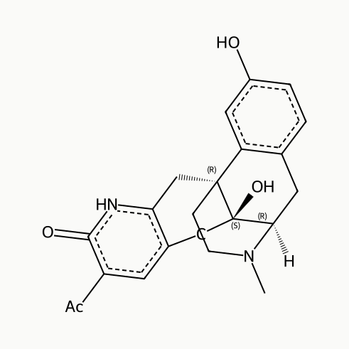 CC(=O)c1cc2c([nH]c1=O)C[C@]13CCN(C)[C@H](Cc4ccc(O)cc41)[C@]3(O)C2